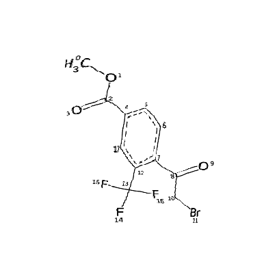 COC(=O)c1ccc(C(=O)CBr)c(C(F)(F)F)c1